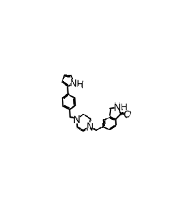 O=C1NCc2cc(CN3CCN(Cc4ccc(-c5ccc[nH]5)cc4)CC3)ccc21